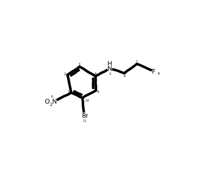 O=[N+]([O-])c1ccc(NCCF)cc1Br